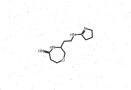 N=C1CCOCC(CCNC2=NCCC2)N1